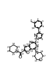 Cc1cccc(-c2ccn(-c3nc(N4CCOCC4)c4oc(C(=O)N5CCCCC5)cc4n3)n2)c1